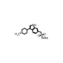 CNS(=O)(=O)Cc1ccc2c(C3CCN(C)CC3)c[nH]c2c1